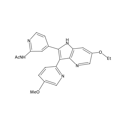 CCOc1cnc2c(-c3ccc(OC)cn3)c(-c3ccnc(NC(C)=O)c3)[nH]c2c1